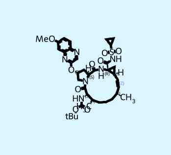 COc1ccc2ncc(O[C@@H]3C[C@H]4C(=O)N[C@]5(C(=O)NS(=O)(=O)C6CC6)C[C@H]5/C=C\[C@H](C)CCC[C@@H](C)[C@H](NC(=O)OC(C)(C)C)C(=O)N4C3)nc2c1